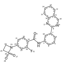 O=C(Nc1cccc(-c2ncc3ccccc3n2)c1)c1ccc(N2CCS2(=O)=O)cc1F